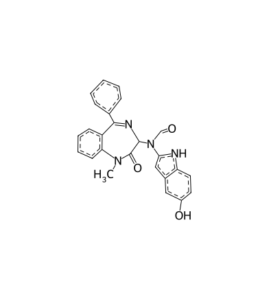 CN1C(=O)C(N(C=O)c2cc3cc(O)ccc3[nH]2)N=C(c2ccccc2)c2ccccc21